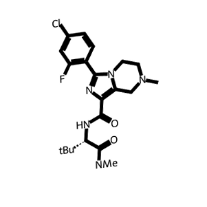 CNC(=O)[C@@H](NC(=O)c1nc(-c2ccc(Cl)cc2F)n2c1CN(C)CC2)C(C)(C)C